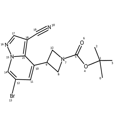 CC(C)(C)OC(=O)N1CC(c2cc(Br)cn3ncc(C#N)c23)C1